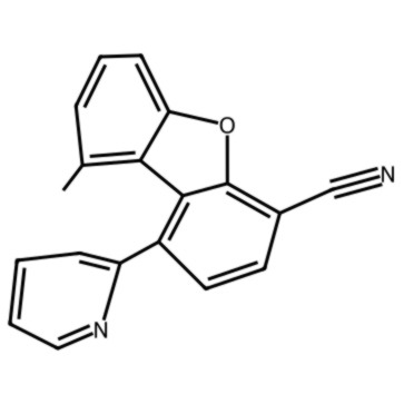 Cc1cccc2oc3c(C#N)ccc(-c4ccccn4)c3c12